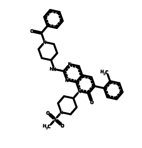 Cc1ccccc1-c1cc2cnc(NC3CCN(C(=O)c4ccccc4)CC3)nc2n(C2CCN(S(C)(=O)=O)CC2)c1=O